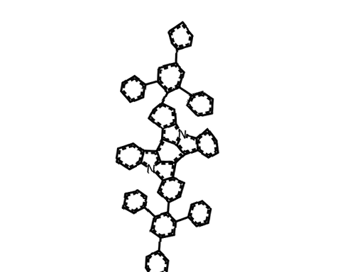 c1ccc(-c2cc(-c3ccccc3)c(-c3ccc4c5c6c7ccccc7n7c8cc(-c9c(-c%10ccccc%10)cc(-c%10ccccc%10)cc9-c9ccccc9)ccc8c(c8c9ccccc9n(c4c3)c85)c67)c(-c3ccccc3)c2)cc1